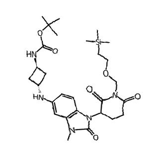 Cn1c(=O)n(C2CCC(=O)N(COCC[Si](C)(C)C)C2=O)c2ccc(N[C@H]3C[C@H](NC(=O)OC(C)(C)C)C3)cc21